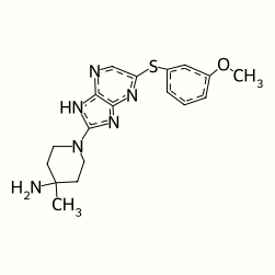 COc1cccc(Sc2cnc3[nH]c(N4CCC(C)(N)CC4)nc3n2)c1